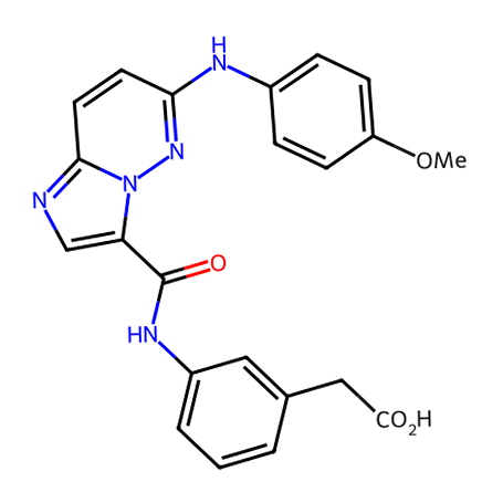 COc1ccc(Nc2ccc3ncc(C(=O)Nc4cccc(CC(=O)O)c4)n3n2)cc1